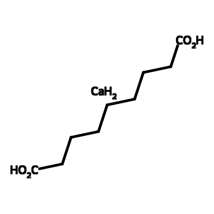 O=C(O)CCCCCCCC(=O)O.[CaH2]